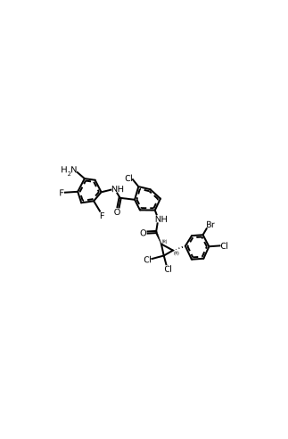 Nc1cc(NC(=O)c2cc(NC(=O)[C@H]3[C@H](c4ccc(Cl)c(Br)c4)C3(Cl)Cl)ccc2Cl)c(F)cc1F